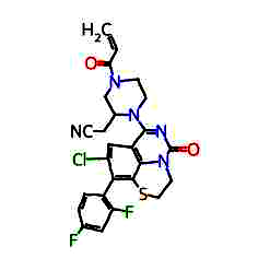 C=CC(=O)N1CCN(c2nc(=O)n3c4c(c(-c5ccc(F)cc5F)c(Cl)cc24)SCC3)C(CC#N)C1